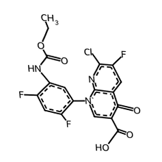 CCOC(=O)Nc1cc(-n2cc(C(=O)O)c(=O)c3cc(F)c(Cl)nc32)c(F)cc1F